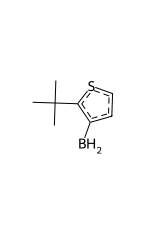 Bc1ccsc1C(C)(C)C